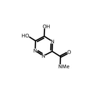 CNC(=O)c1nnc(O)c(O)n1